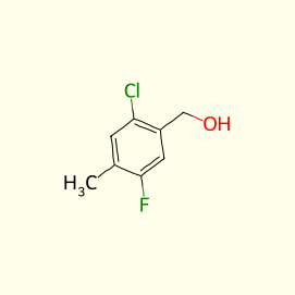 Cc1cc(Cl)c(CO)cc1F